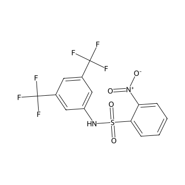 O=[N+]([O-])c1ccccc1S(=O)(=O)Nc1cc(C(F)(F)F)cc(C(F)(F)F)c1